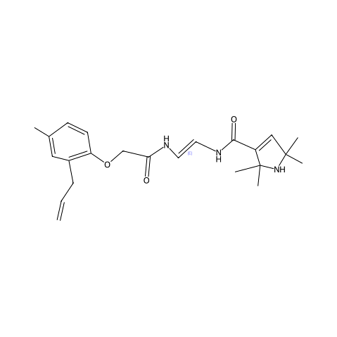 C=CCc1cc(C)ccc1OCC(=O)N/C=C/NC(=O)C1=CC(C)(C)NC1(C)C